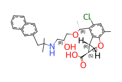 Cc1cc(Cl)c([C@@H](C)OC[C@H](O)CNC(C)(C)Cc2ccc3ccccc3c2)c2c1O[C@@H]1[C@@H](C(=O)O)[C@H]21